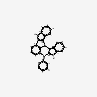 c1ccc(N2c3cccc4c3B(c3c-4sc4ccccc34)c3c2sc2ccccc32)cc1